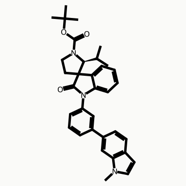 CC(C)[C@@H]1N(C(=O)OC(C)(C)C)CCC12C(=O)N(c1cccc(-c3ccc4ccn(C)c4c3)c1)c1ccccc12